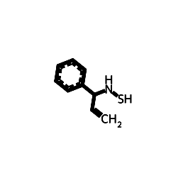 C=CC(NS)c1ccccc1